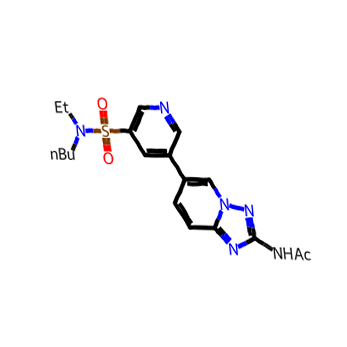 CCCCN(CC)S(=O)(=O)c1cncc(-c2ccc3nc(NC(C)=O)nn3c2)c1